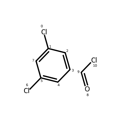 Clc1cccc(Cl)c1.O=CCl